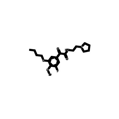 CCCCOc1cc(C(=O)C(=O)NCCN2CCCC2)cc(F)c1OBr